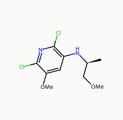 COC[C@H](C)Nc1cc(OC)c(Cl)nc1Cl